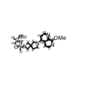 COc1nccc2c(N3CCC4(C3)CN(S(C)(=O)=N[Si](C)(C)C(C)(C)C)C4)ccnc12